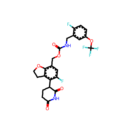 O=C1CCC(c2c(F)cc(COC(=O)NCc3cc(OC(F)(F)F)ccc3F)c3c2CCO3)C(=O)N1